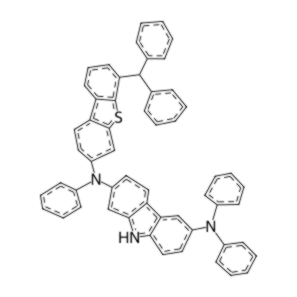 c1ccc(C(c2ccccc2)c2cccc3c2sc2cc(N(c4ccccc4)c4ccc5c(c4)[nH]c4ccc(N(c6ccccc6)c6ccccc6)cc45)ccc23)cc1